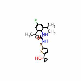 CC(C)c1cc(F)cc(C(C)C)c1NC(=O)NSc1ccc(C2(O)CC2)s1